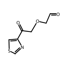 O=CCOCC(=O)c1cs[c]n1